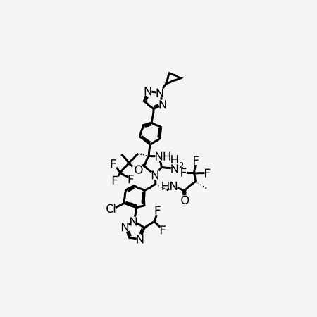 C[C@H](C(=O)NC[C@H](c1ccc(Cl)c(-n2ncnc2C(F)F)c1)N1C(=O)[C@@](CC(C)(C)C(F)(F)F)(c2ccc(-c3cnn(C4CC4)n3)cc2)NC1N)C(F)(F)F